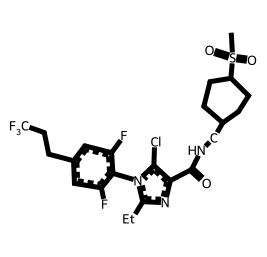 CCc1nc(C(=O)NCC2CCC(S(C)(=O)=O)CC2)c(Cl)n1-c1c(F)cc(CCC(F)(F)F)cc1F